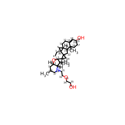 C[C@H]1C[C@H]2O[C@]3(CC[C@@]45CC46CCC4=C[C@@H](O)CC[C@]4(C)[C@H]6CC54CC43C)[C@H](C)[C@@H]2N(CCOCCO)C1